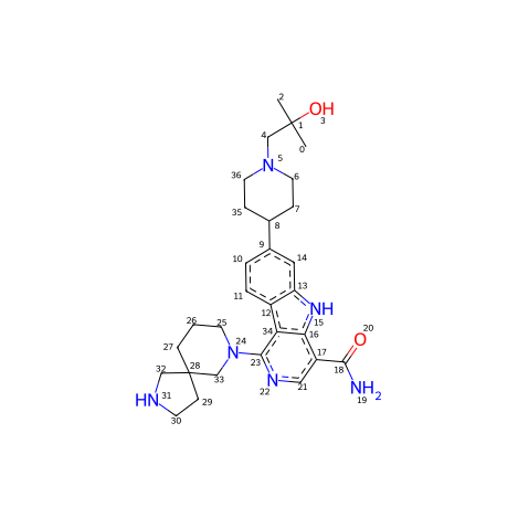 CC(C)(O)CN1CCC(c2ccc3c(c2)[nH]c2c(C(N)=O)cnc(N4CCCC5(CCNC5)C4)c23)CC1